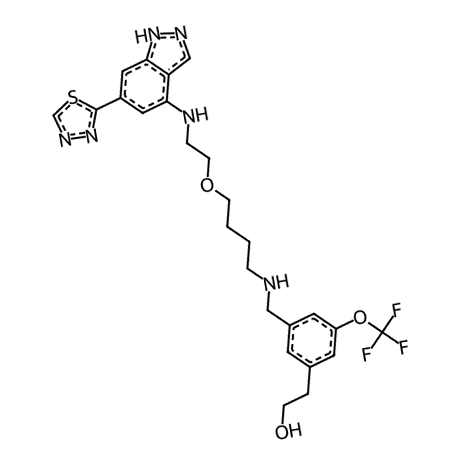 OCCc1cc(CNCCCCOCCNc2cc(-c3nncs3)cc3[nH]ncc23)cc(OC(F)(F)F)c1